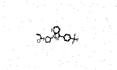 C=CC(=O)N1CCC(n2nc(-c3ccc(C(F)(F)F)cc3)c3cccnc32)C1